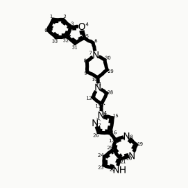 c1ccc2oc(CN3CCC(N4C[C](n5cc(-c6ncnc7[nH]ccc67)cn5)C4)CC3)cc2c1